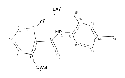 COc1cccc(Cl)c1C(=O)Pc1ccc(C)cc1C.[LiH]